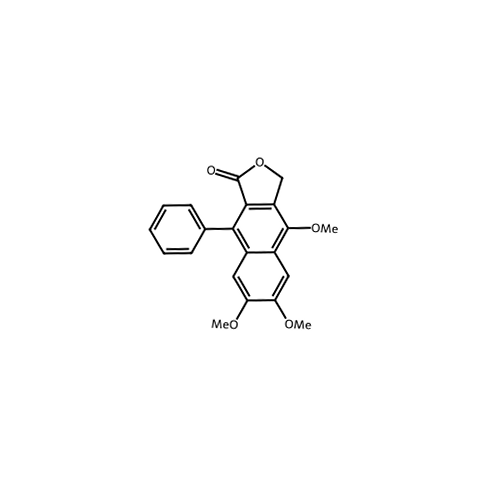 COc1cc2c(OC)c3c(c(-c4ccccc4)c2cc1OC)C(=O)OC3